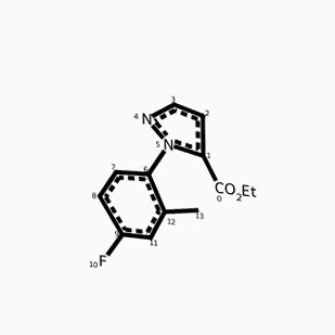 CCOC(=O)c1ccnn1-c1ccc(F)cc1C